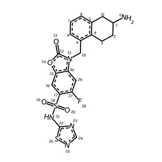 NC1CCc2c(cccc2Cn2c(=O)oc3cc(S(=O)(=O)Nc4ncns4)c(F)cc32)C1